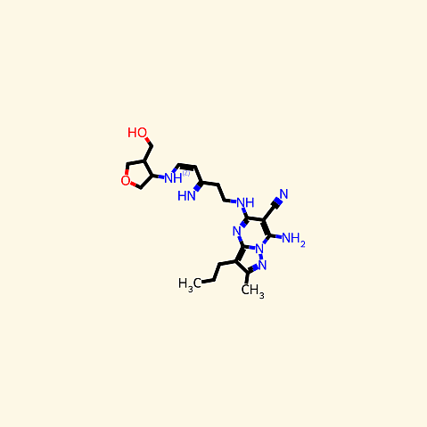 CCCc1c(C)nn2c(N)c(C#N)c(NCCC(=N)/C=C\NC3COCC3CO)nc12